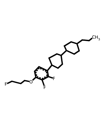 CCCC1CCC(C2CCC(c3ccc(OCCCF)c(F)c3F)CC2)CC1